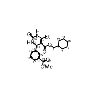 CCC1=C(C(=O)OCC2CCCCC2)C(c2cccc(C(=O)OC)c2)NC(=O)N1